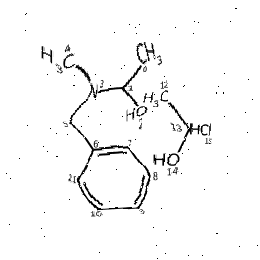 CC(O)N(C)Cc1ccccc1.CCO.Cl